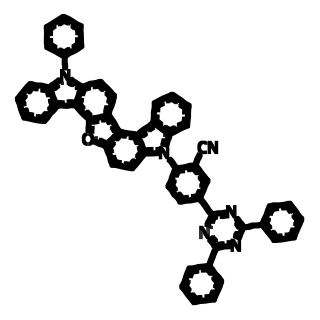 N#Cc1cc(-c2nc(-c3ccccc3)nc(-c3ccccc3)n2)ccc1-n1c2ccccc2c2c3c(ccc21)oc1c3ccc2c1c1ccccc1n2-c1ccccc1